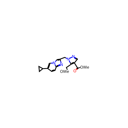 COCc1c(C(=O)OC)cnn1Cc1cn2cc(C3CC3)ccc2n1